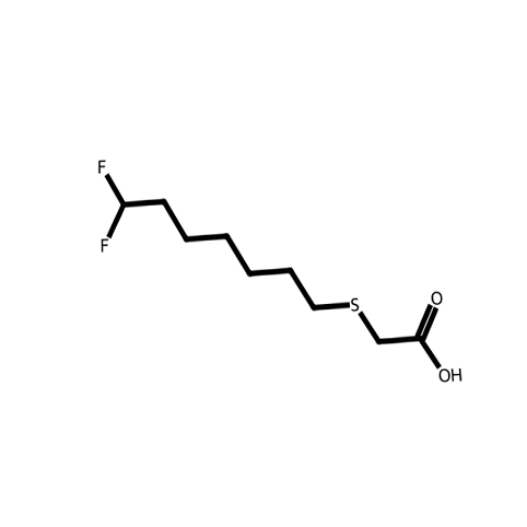 O=C(O)CSCCCCCCC(F)F